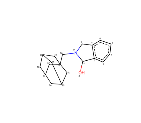 OC1c2ccccc2CN1CC12CC3CC(CC(C3)C1)C2